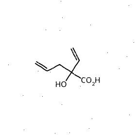 C=CCC(O)(C=C)C(=O)O